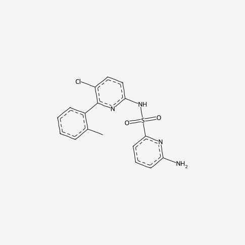 Cc1ccccc1-c1nc(NS(=O)(=O)c2cccc(N)n2)ccc1Cl